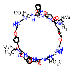 CN[C@@H](C)C(=O)N[C@H]1Cc2ccc(cc2)OCc2cn(nn2)CCN(CC(=O)O)CCNC(=O)[C@H](Cc2ccccc2)NC(=O)[C@@H]2CCCN2C(=O)[C@@H](NC(=O)[C@H](C)NC)Cc2ccc(cc2)OCc2cn(nn2)CCN(CC(=O)O)CCNC(=O)[C@H](Cc2ccccc2)NC(=O)[C@@H]2CCCN2C1=O